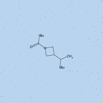 CC(C1CN(C(=O)C(C)(C)C)C1)C(C)(C)C